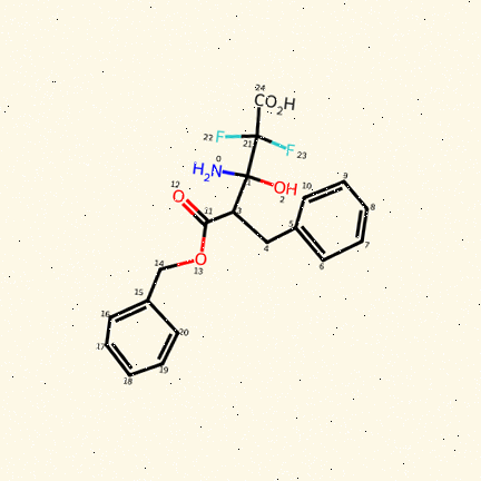 NC(O)(C(Cc1ccccc1)C(=O)OCc1ccccc1)C(F)(F)C(=O)O